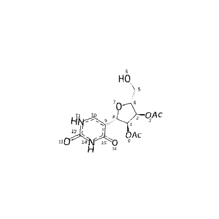 CC(=O)O[C@@H]1[C@H](OC(C)=O)[C@@H](CO)O[C@H]1c1c[nH]c(=O)[nH]c1=O